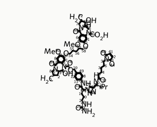 C=C1CC2[C@H](O)N(C(=O)OCc3ccc(NC(=O)[C@H](CCCNC(N)=O)n4cc([C@@H](NC(=O)CCCCCN5C(=O)C=CC5=O)C(C)C)nn4)cc3)c3cc(OCCCCCOc4cc5c(cc4OC)C(=O)N4CC(=C)C(O)[C@@H]4CN5C(=O)O)c(OC)cc3C(=O)N2C1